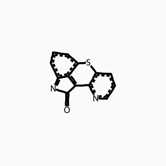 O=C1N=c2cccc3c2=C1c1ncccc1S3